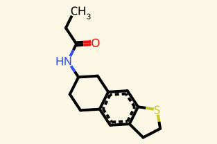 CCC(=O)NC1CCc2cc3c(cc2C1)SCC3